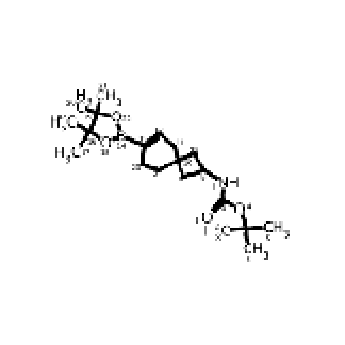 CC(C)(C)OC(=O)NC1CC2(CC=C(B3OC(C)(C)C(C)(C)O3)CC2)C1